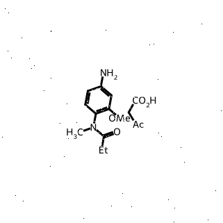 CC(=O)CC(=O)O.CCC(=O)N(C)c1ccc(N)cc1OC